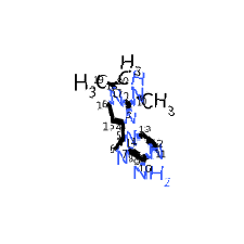 CNC1=NC(c2cnc3c(N)nccn23)=CCN1C(C)C